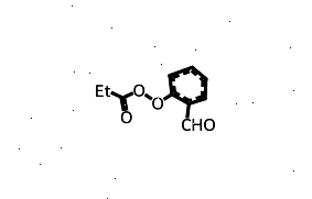 CCC(=O)OOc1ccccc1C=O